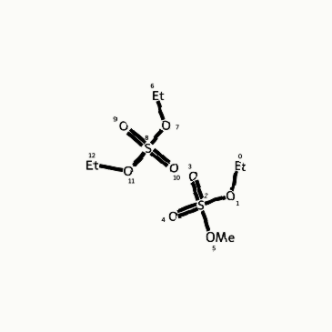 CCOS(=O)(=O)OC.CCOS(=O)(=O)OCC